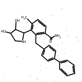 Cc1ccc(C(N)=O)c(Cc2ccc(-c3ccccc3)cc2)c1C1NCC(O)C1O